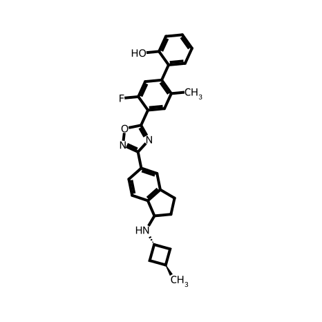 Cc1cc(-c2nc(-c3ccc4c(c3)CCC4N[C@H]3C[C@H](C)C3)no2)c(F)cc1-c1ccccc1O